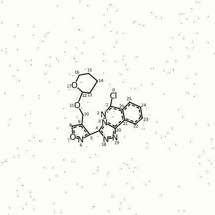 Clc1nn2c(-c3nocc3COC3CCCCO3)nnc2c2ccccc12